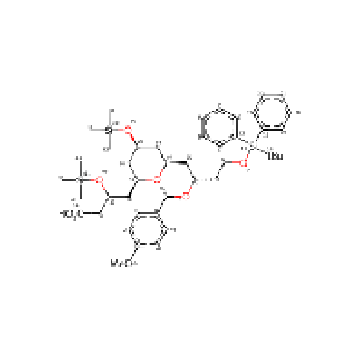 COc1ccc(CO[C@@H](CCO[Si](c2ccccc2)(c2ccccc2)C(C)(C)C)C[C@@H]2C[C@H](O[Si](C)(C)C)C[C@H](CC(CC(=O)O)O[Si](C)(C)C)O2)cc1